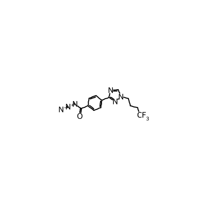 [N-]=[N+]=NC(=O)c1ccc(-c2ncn(CCCC(F)(F)F)n2)cc1